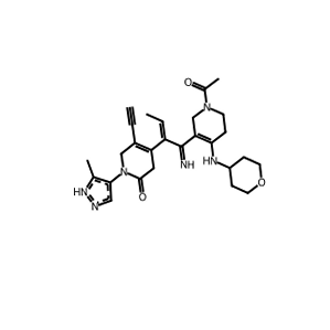 C#CC1=C(/C(=C\C)C(=N)C2=C(NC3CCOCC3)CCN(C(C)=O)C2)CC(=O)N(c2cn[nH]c2C)C1